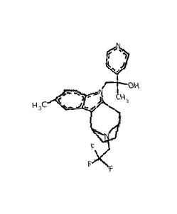 Cc1ccc2c(c1)c1c(n2CC(C)(O)c2ccncc2)CC2CCC1N2CC(F)(F)F